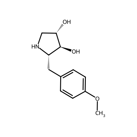 COc1ccc(C[C@@H]2NC[C@H](O)[C@H]2O)cc1